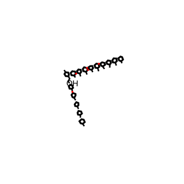 Cc1ccc(CCO)cc1.Cc1ccccc1.Cc1ccccc1.Cc1ccccc1.Cc1ccccc1.Cc1ccccc1.Cc1ccccc1.Cc1ccccc1.Cc1ccccc1.Cc1ccccc1.Cc1ccccc1.Cc1ccccc1.Cc1ccccc1.Cc1ccccc1.Cc1ccccc1